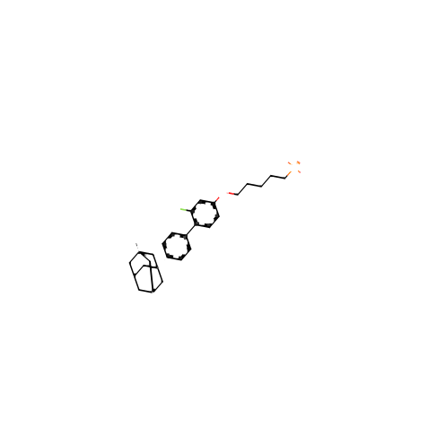 O=P(O)(O)CCCCCOc1ccc(-c2ccc([C@]34CC5CC(C[C@H](C5)C3)C4)cc2)c(F)c1